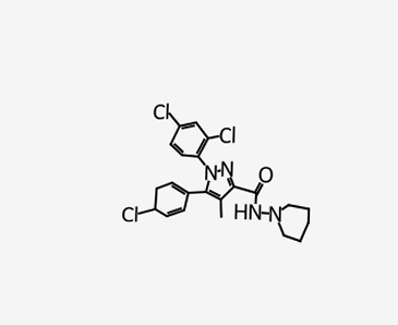 Cc1c(C(=O)NN2CCCCC2)nn(-c2ccc(Cl)cc2Cl)c1C1=CCC(Cl)C=C1